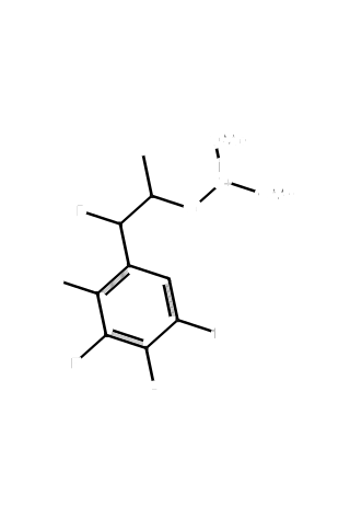 CO[SiH](OC)OC(C)C(F)c1cc(F)c(F)c(F)c1F